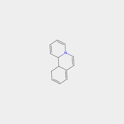 C1=CCC2C(=C1)C=CN1C=CC=CC21